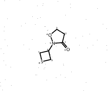 O=C1[CH]CON1C1CSC1